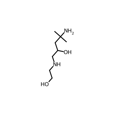 CC(C)(N)CC(O)CNCCO